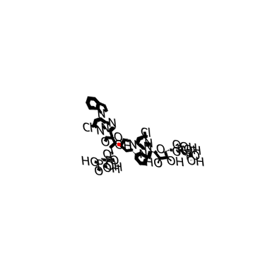 O=P(O)(O)CP(=O)(O)OC[C@H]1O[C@@H](c2cnc3c(N4CC(O[C@@]5(c6cnc7c(N8CCc9ccccc98)cc(Cl)nn67)CO[C@H](COP(=O)(O)CP(=O)(O)O)[C@H]5O)CC[C@H]4c4ccccc4)cc(Cl)nn23)[C@H](O)[C@@H]1O